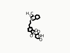 CCCN(CCCc1ccc2c(c1)C(=O)N(C1CCC(=O)NC1=O)C2=O)CC1CCCCC1